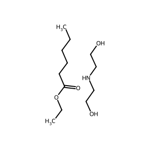 CCCCCC(=O)OCC.OCCNCCO